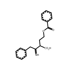 N=C(Cc1ccccc1)C(CCOC(=O)c1ccccc1)C(=O)O